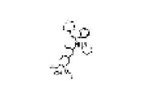 CCOc1cc(CC(=O)N/C(=C/C2CCCCC2)c2ccccc2N2CCCCC2)ccc1C(=O)O